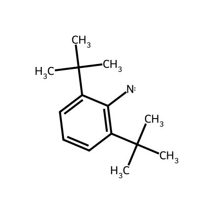 CC(C)(C)c1cccc(C(C)(C)C)c1[N]